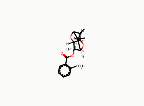 CC1C2O[C@H]3[C@H](OC(=O)c4ccccc4C(=O)O)[C@H](O[C@@H]13)[C@H]2C